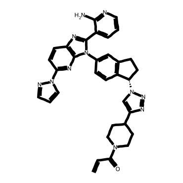 C=CC(=O)N1CCC(c2cn([C@H]3CCc4cc(-n5c(-c6cccnc6N)nc6ccc(-n7cccn7)nc65)ccc43)nn2)CC1